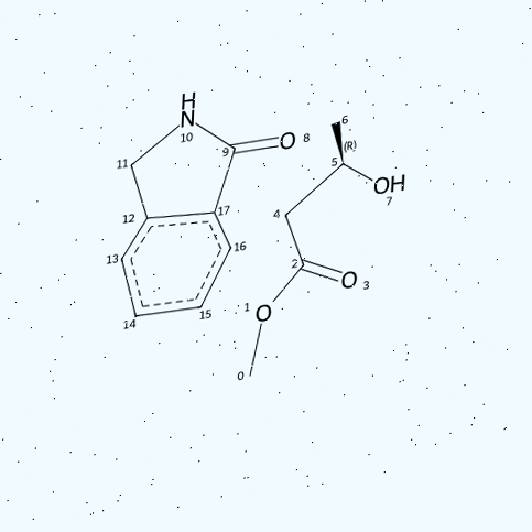 COC(=O)C[C@@H](C)O.O=C1NCc2ccccc21